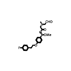 COB(OC(=O)CN(C)CC=O)c1ccc(OCCc2ccc(F)cc2)cc1